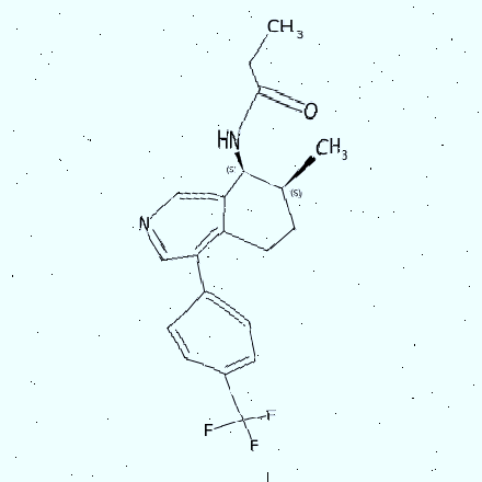 CCC(=O)N[C@@H]1c2cncc(-c3ccc(C(F)(F)F)cc3)c2CC[C@@H]1C